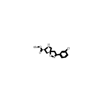 CC(C)(C)OC(=O)[C@@H]1C[C@@]2(CN1)CC(c1cccc(Cl)c1)=NO2